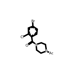 CC(=O)N1CCN(C(=O)c2ccc(Br)cc2Cl)CC1